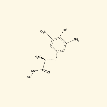 Nc1cc(C[C@H](N)C(=O)NO)cc([N+](=O)[O-])c1O